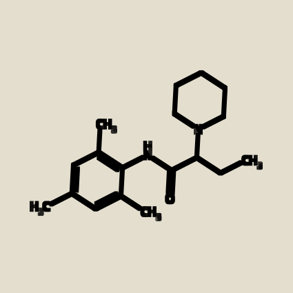 CCC(C(=O)Nc1c(C)cc(C)cc1C)N1CCCCC1